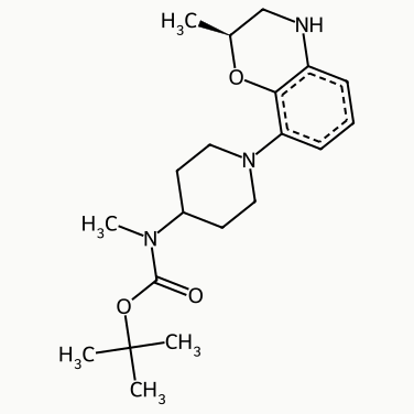 C[C@H]1CNc2cccc(N3CCC(N(C)C(=O)OC(C)(C)C)CC3)c2O1